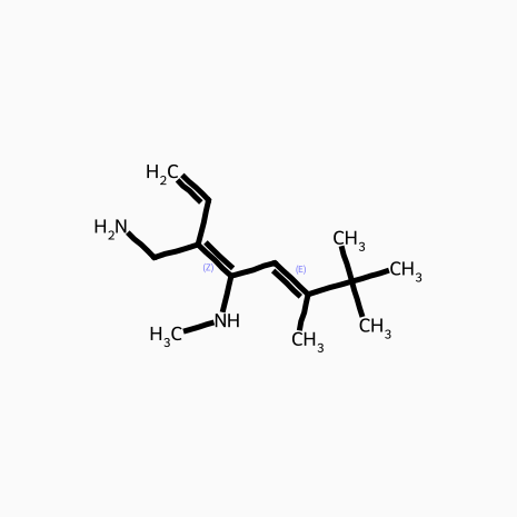 C=C/C(CN)=C(\C=C(/C)C(C)(C)C)NC